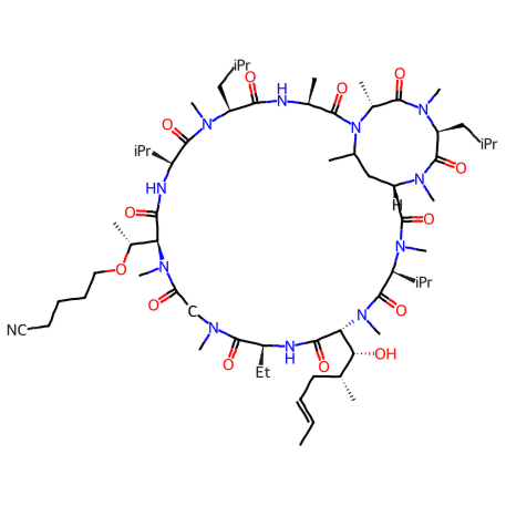 C/C=C/C[C@@H](C)[C@@H](O)[C@@H]1C(=O)N[C@@H](CC)C(=O)N(C)CC(=O)N(C)[C@@H]([C@@H](C)OCCCCC#N)C(=O)N[C@@H](C(C)C)C(=O)N(C)[C@@H](CC(C)C)C(=O)N[C@@H](C)C(=O)N2C(C)C[C@@H](C(=O)N(C)[C@@H](C(C)C)C(=O)N1C)N(C)C(=O)[C@H](CC(C)C)N(C)C(=O)[C@H]2C